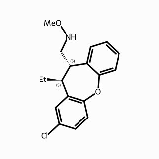 CC[C@@H]1c2cc(Cl)ccc2Oc2ccccc2[C@H]1CNOC